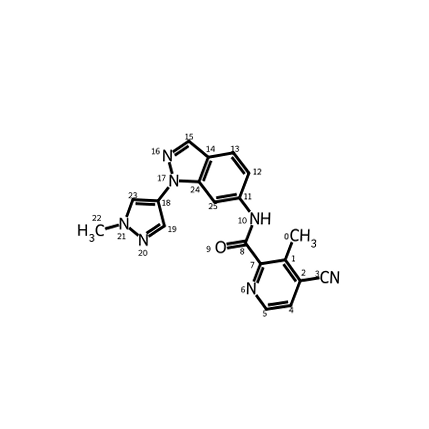 Cc1c(C#N)ccnc1C(=O)Nc1ccc2cnn(-c3cnn(C)c3)c2c1